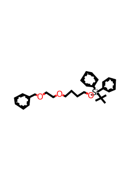 CC(C)(C)[Si](OCCCCOCCOCc1ccccc1)(c1ccccc1)c1ccccc1